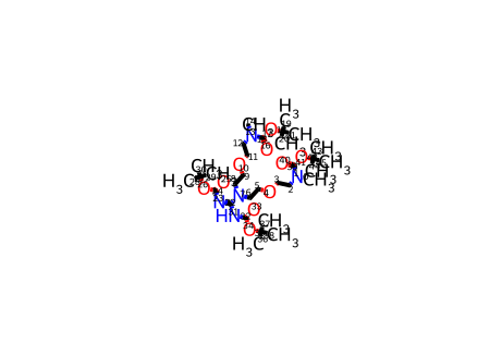 CN(CCOCCN(CCOCCN(C)C(=O)OC(C)(C)C)/C(=N\C(=O)OC(C)(C)C)NC(=O)OC(C)(C)C)C(=O)OC(C)(C)C